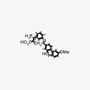 COc1ccc(F)c(-c2ccc(COc3cccc([C@H](C)C(C)C(=O)O)c3)cc2O)c1